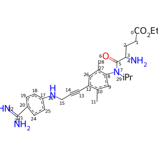 CCOC(=O)CCC(N)C(=O)N(c1cc(C)c(C#CCNc2ccc(C(=N)N)cc2)cc1C)C(C)C